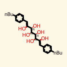 CCCCc1ccc(C=C(O)[C@@H](O)[C@@H](O)[C@H](O)[C@@H](O)C(O)=Cc2ccc(CCCC)cc2)cc1